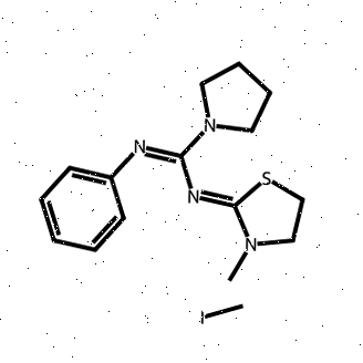 CI.CN1CCSC1=NC(=Nc1ccccc1)N1CCCC1